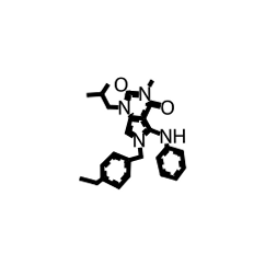 CCc1ccc(Cn2cc3c(c2Nc2ccccc2)c(=O)n(C)c(=O)n3CC(C)C)cc1